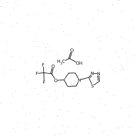 CC(=O)O.O=C(OC1CCN(c2nncs2)CC1)C(F)(F)F